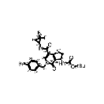 CC(C)(C)OC(=O)N[C@H]1CSc2c(C(=O)NC3CC3(F)F)cn(Cc3ccc(Br)cc3)c(=O)c21